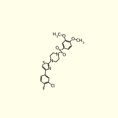 COc1ccc(S(=O)(=O)N2CCN(c3nc(-c4ccc(F)c(Cl)c4)cs3)CC2)cc1OC